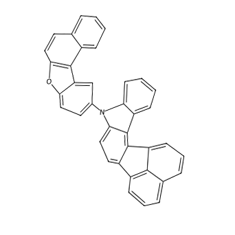 c1cc2c3c(cccc3c1)-c1c-2ccc2c1c1ccccc1n2-c1ccc2oc3ccc4ccccc4c3c2c1